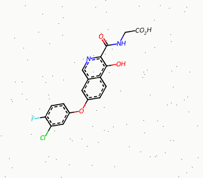 O=C(O)CNC(=O)c1ncc2cc(Oc3ccc(F)c(Cl)c3)ccc2c1O